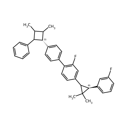 CC1C(C)[C@H](c2ccc(-c3ccc(C4[C@@H](c5cccc(F)c5)C4(C)C)cc3F)cc2)C1c1ccccc1